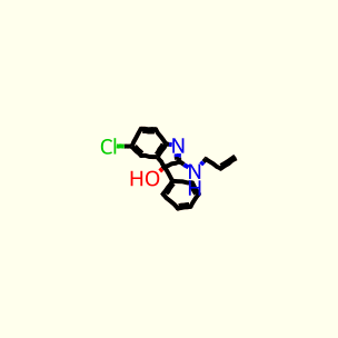 C=CCNC1=Nc2ccc(Cl)cc2C1(O)c1ccccc1